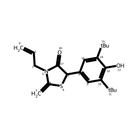 C=CCN1C(=C)SC(c2cc(C(C)(C)C)c(O)c(C(C)(C)C)c2)C1=O